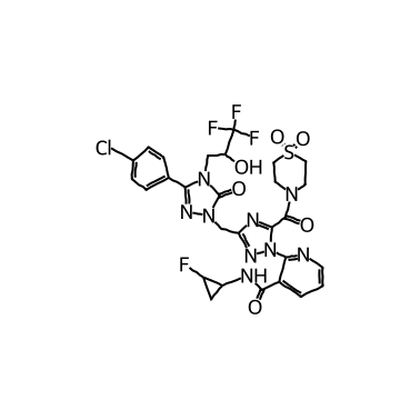 O=C(NC1CC1F)c1cccnc1-n1nc(Cn2nc(-c3ccc(Cl)cc3)n(CC(O)C(F)(F)F)c2=O)nc1C(=O)N1CCS(=O)(=O)CC1